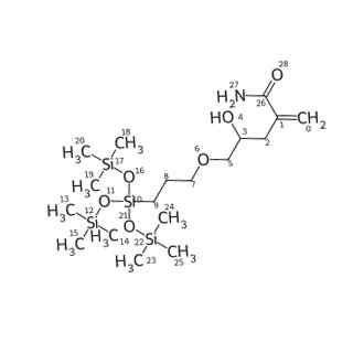 C=C(CC(O)COCCC[Si](O[Si](C)(C)C)(O[Si](C)(C)C)O[Si](C)(C)C)C(N)=O